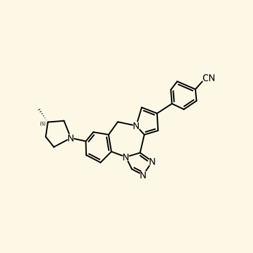 C[C@H]1CCN(c2ccc3c(c2)Cn2cc(-c4ccc(C#N)cc4)cc2-c2nncn2-3)C1